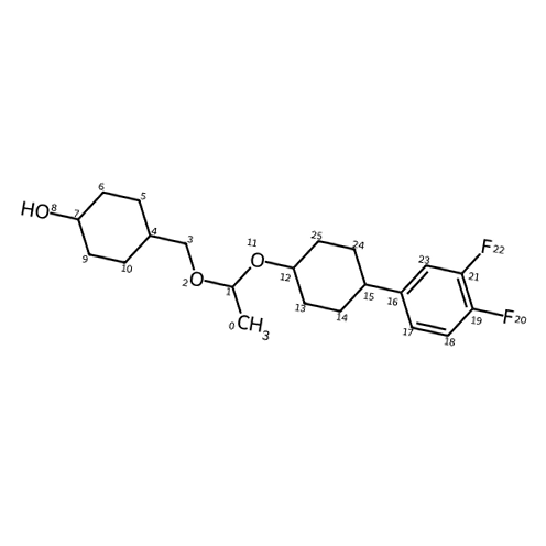 CC(OCC1CCC(O)CC1)OC1CCC(c2ccc(F)c(F)c2)CC1